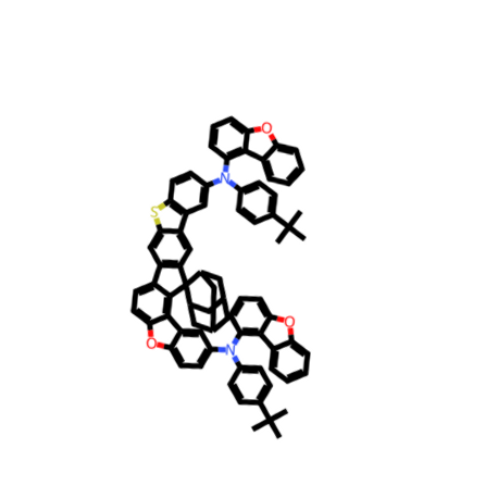 CC(C)(C)c1ccc(N(c2ccc3sc4cc5c(cc4c3c2)C2(c3c-5ccc4oc5ccc(N(c6ccc(C(C)(C)C)cc6)c6cccc7oc8ccccc8c67)cc5c34)C3CC4CC(C3)CC2C4)c2cccc3oc4ccccc4c23)cc1